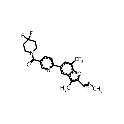 C/N=C/c1oc2c(C(F)(F)F)cc(-c3ccc(C(=O)N4CCC(F)(F)CC4)cn3)cc2c1C